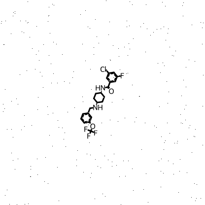 O=C(N[C@H]1CC[C@H](NCc2cccc(OC(F)(F)F)c2)CC1)c1cc(F)cc(Cl)c1